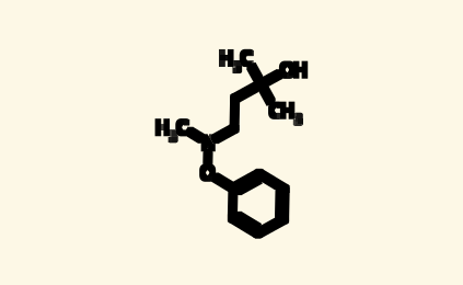 CN(CCC(C)(C)O)Oc1ccccc1